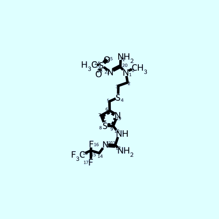 CN(CCSCc1csc(NC(N)=NCC(F)(F)C(F)(F)F)n1)C(N)=NS(C)(=O)=O